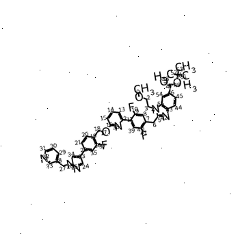 COCCn1c(Cc2cc(F)c(-c3cccc(OCc4ccc(-c5cnn(Cc6cccnc6)c5)cc4F)n3)cc2F)nc2ccc(C(=O)OC(C)(C)C)cc21